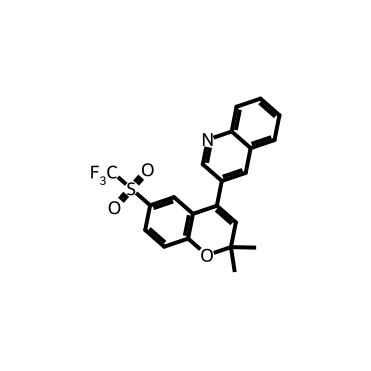 CC1(C)C=C(c2cnc3ccccc3c2)c2cc(S(=O)(=O)C(F)(F)F)ccc2O1